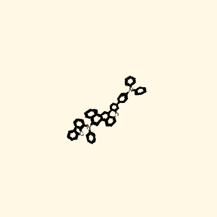 c1ccc(N(c2ccccc2)c2ccc(-c3ccc4c(c3)Oc3cccc5c3c-4cc3c4ccccc4c(N(c4ccccc4)c4cccc6c4oc4ccccc46)cc53)cc2)cc1